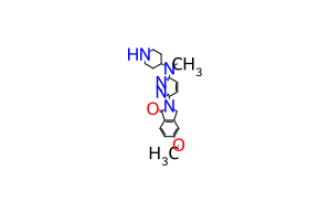 COc1ccc2c(c1)CN(c1ccc(N(C)C3CCNCC3)nn1)C2=O